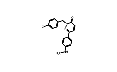 CNc1ccc(-c2ccc(=O)n(Cc3ccc(Cl)cc3)n2)cc1